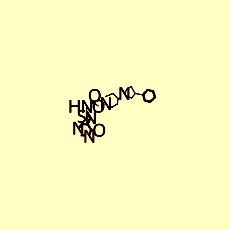 COc1ncnc2sc(NC(=O)ON3CCC(N4CCC(c5ccccc5)C4)CC3)nc12